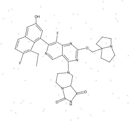 CCc1c(F)ccc2cc(O)cc(-c3ncc4c(N5CCN6C(=O)NC(=O)C6C5)nc(OCC56CCCN5CCC6)nc4c3F)c12